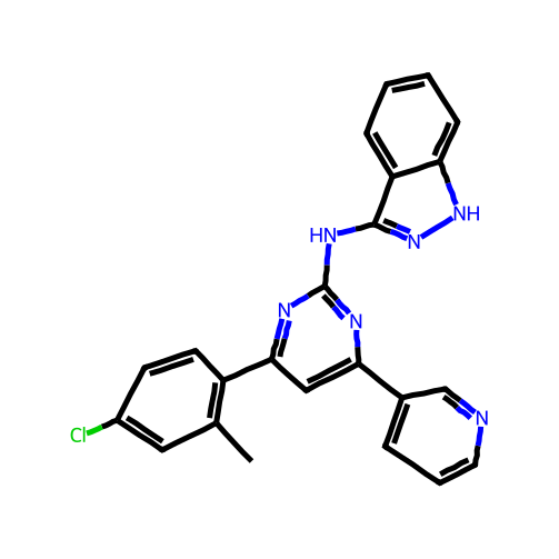 Cc1cc(Cl)ccc1-c1cc(-c2cccnc2)nc(Nc2n[nH]c3ccccc23)n1